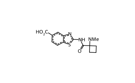 CNC1(C(=O)Nc2nc3cc(C(=O)O)ccc3s2)CCC1